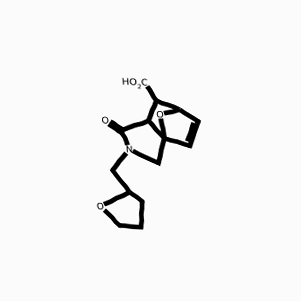 O=C(O)C1C2C=CC3(CN(CC4CCCO4)C(=O)C13)O2